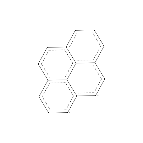 [c]1ccc2ccc3cccc4c[c]c1c2c43